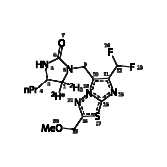 [2H]C1([2H])C(CCC)NC(=O)N1Cc1c(C(F)F)nc2sc(COC)nn12